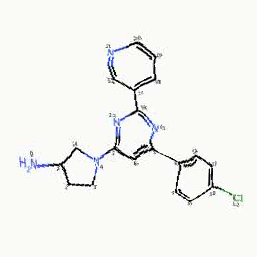 NC1CCN(c2cc(-c3ccc(Cl)cc3)nc(-c3cccnc3)n2)C1